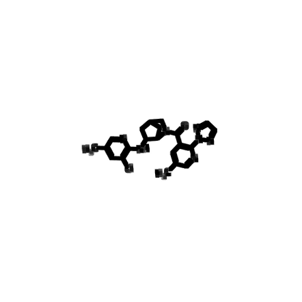 Cc1cnc(NC2CC3CC2N(C(=O)c2cc(C)cnc2-n2nccn2)C3)c(Cl)c1